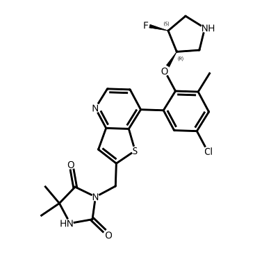 Cc1cc(Cl)cc(-c2ccnc3cc(CN4C(=O)NC(C)(C)C4=O)sc23)c1O[C@@H]1CNC[C@@H]1F